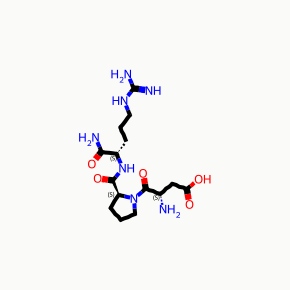 N=C(N)NCCC[C@H](NC(=O)[C@@H]1CCCN1C(=O)[C@@H](N)CC(=O)O)C(N)=O